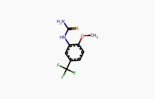 COc1ccc(C(F)(F)F)cc1NC(N)=S